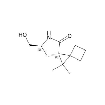 CC1(C)C2(CCC2)[C@@]12C[C@@H](CO)NC2=O